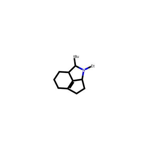 CCN1C2CCC3=C2C(CCC3)C1C(C)(C)C